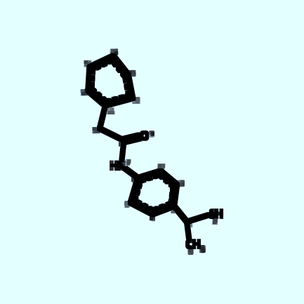 CC(S)c1ccc(NC(=O)Cc2ccccc2)cc1